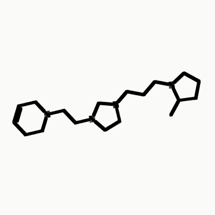 CC1CCCN1CCCN1CCN(CCN2CC=CCC2)C1